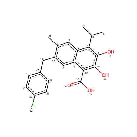 Cc1cc2c(C(C)C)c(O)c(O)c(C(=O)O)c2cc1Cc1ccc(Cl)cc1